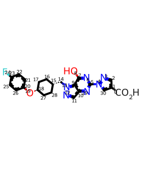 O=C(O)c1cnn(-c2nc(O)c3c(cnn3C[C@H]3CC[C@@H](Oc4ccc(F)cc4)CC3)n2)c1